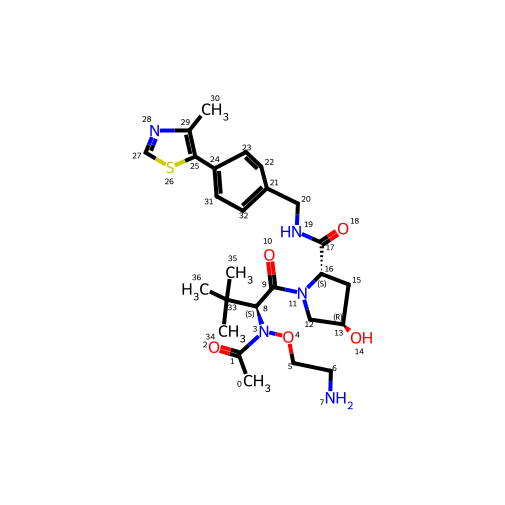 CC(=O)N(OCCN)[C@H](C(=O)N1C[C@H](O)C[C@H]1C(=O)NCc1ccc(-c2scnc2C)cc1)C(C)(C)C